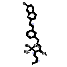 C=C(CCCc1cccc(/C=C/c2ccc3ccc(Cl)cc3n2)c1)/C(=C\C=C/I)C(C)(C)O